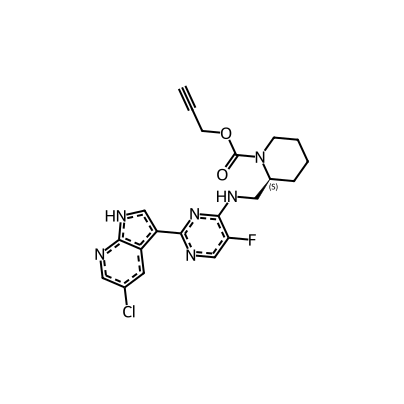 C#CCOC(=O)N1CCCC[C@H]1CNc1nc(-c2c[nH]c3ncc(Cl)cc23)ncc1F